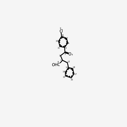 O=CC(CC(=O)c1ccc(Cl)cc1)Cc1ccccc1